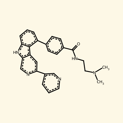 CN(C)CCNC(=O)c1ccc(-c2cccc3[nH]c4cnc(-c5cccnc5)cc4c23)cc1